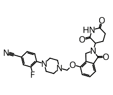 N#Cc1ccc(N2CCN(COc3cccc4c3CN(C3CCC(=O)NC3=O)C4=O)CC2)c(F)c1